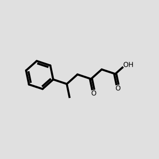 CC(CC(=O)CC(=O)O)c1ccccc1